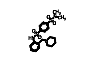 CN(C)S(=O)(=O)c1ccc(S(=O)(=O)Nc2ccccc2CN2CCCCC2)cc1